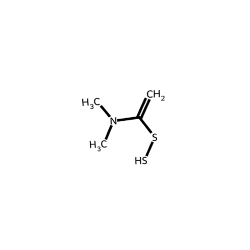 C=C(SS)N(C)C